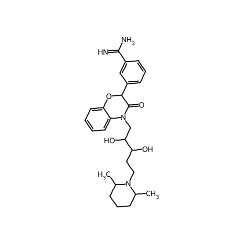 CC1CCCC(C)N1CCC(O)C(O)CN1C(=O)C(c2cccc(C(=N)N)c2)Oc2ccccc21